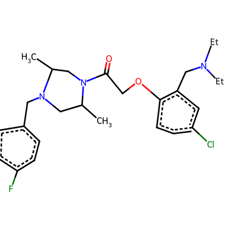 CCN(CC)Cc1cc(Cl)ccc1OCC(=O)N1CC(C)N(Cc2ccc(F)cc2)CC1C